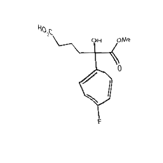 COC(=O)C(O)(CCCC(=O)O)c1ccc(F)cc1